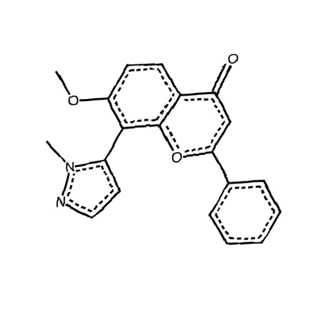 COc1ccc2c(=O)cc(-c3ccccc3)oc2c1-c1ccnn1C